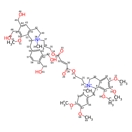 COc1ccc(CC2c3c(cc(OC)c(OC)c3OC)CC[N+]2(C)CCCOC(=O)/C=C/C(=O)OCCC[N+]2(C)CCc3cc(CO)c(CO)c(OC)c3C2Cc2ccc(CO)c(CO)c2)cc1OC